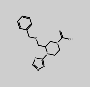 O=C(O)N1CCN(c2nnco2)C(COCc2ccccc2)C1